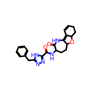 O=C(NC1CCC2OC3CCC=CC3=C2NC1=O)c1nnc(Cc2ccccc2)[nH]1